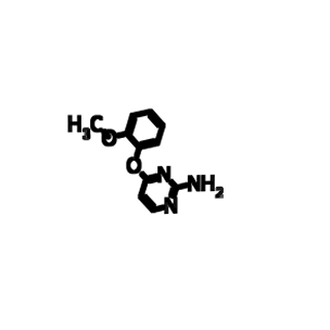 COc1ccccc1Oc1ccnc(N)n1